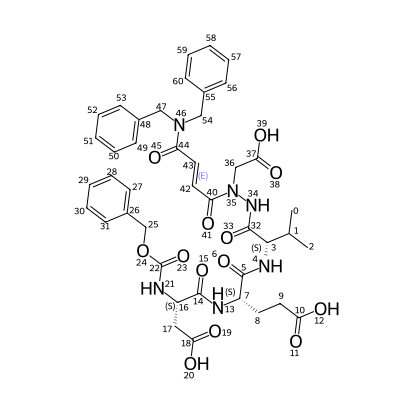 CC(C)[C@H](NC(=O)[C@H](CCC(=O)O)NC(=O)[C@H](CC(=O)O)NC(=O)OCc1ccccc1)C(=O)NN(CC(=O)O)C(=O)/C=C/C(=O)N(Cc1ccccc1)Cc1ccccc1